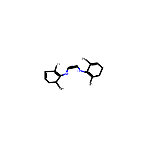 CC(C)C1=CCCC(C(C)C)=C1N/C=C\NC1=C(C(C)C)C=CCC1C(C)C